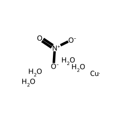 O.O.O.O.O=[N+]([O-])[O-].[Cu]